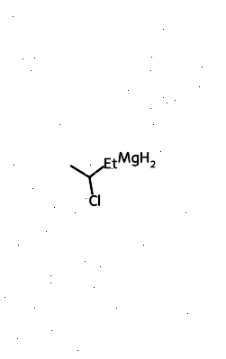 CCC(C)Cl.[MgH2]